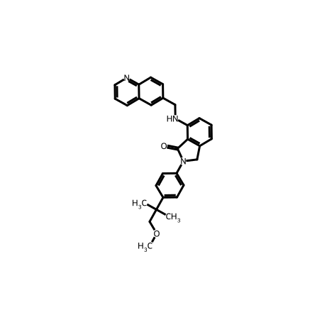 COCC(C)(C)c1ccc(N2Cc3cccc(NCc4ccc5ncccc5c4)c3C2=O)cc1